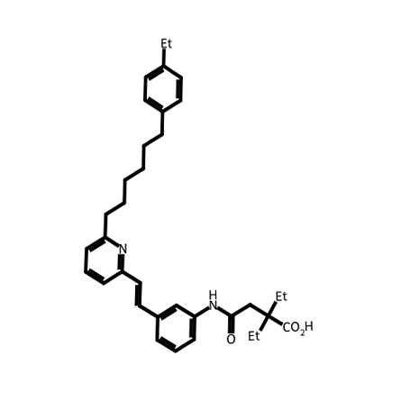 CCc1ccc(CCCCCCc2cccc(C=Cc3cccc(NC(=O)CC(CC)(CC)C(=O)O)c3)n2)cc1